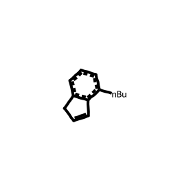 CCCCc1cccc2c1C=CC2